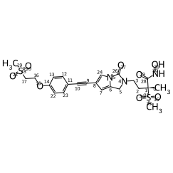 C[C@@](CCN1Cc2cc(C#Cc3ccc(OCCS(C)(=O)=O)cc3)cn2C1=O)(C(=O)NO)S(C)(=O)=O